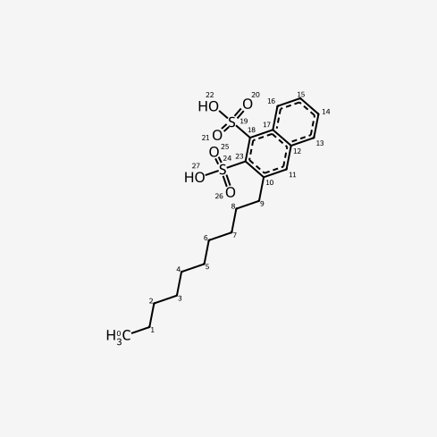 CCCCCCCCCCc1cc2ccccc2c(S(=O)(=O)O)c1S(=O)(=O)O